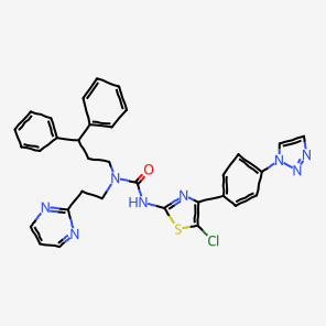 O=C(Nc1nc(-c2ccc(-n3ccnn3)cc2)c(Cl)s1)N(CCc1ncccn1)CCC(c1ccccc1)c1ccccc1